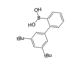 CC(C)(C)c1cc(-c2ccccc2B(O)O)cc(C(C)(C)C)c1